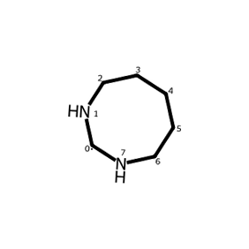 [CH]1NCCCCCN1